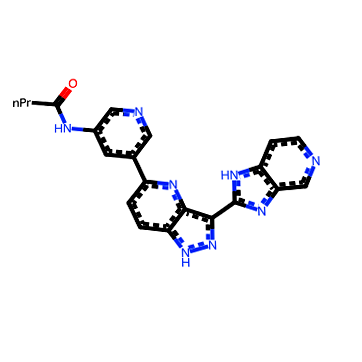 CCCC(=O)Nc1cncc(-c2ccc3[nH]nc(-c4nc5cnccc5[nH]4)c3n2)c1